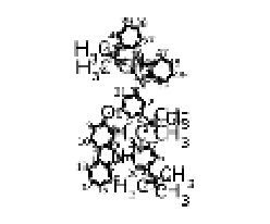 CC(C)(C)c1cc(Oc2ccc3c4ccccc4n(-c4cc(C(C)(C)C)ccn4)c3c2)cc(-[n+]2cn(-c3ccccc3C(C)(C)C)c3ccccc32)c1.[Cl-]